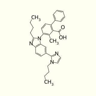 CCCCc1nc2ccc(-c3nccn3CCCC)cc2n1-c1ccc(-c2ccccc2)c(C(=O)O)c1C